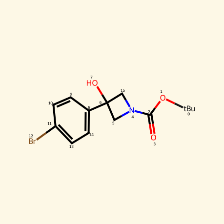 CC(C)(C)OC(=O)N1CC(O)(c2ccc(Br)cc2)C1